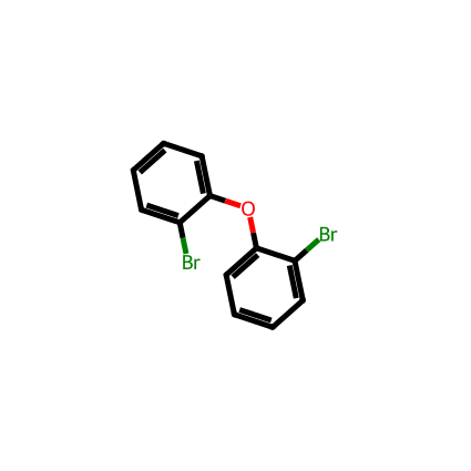 Brc1ccccc1Oc1ccccc1Br